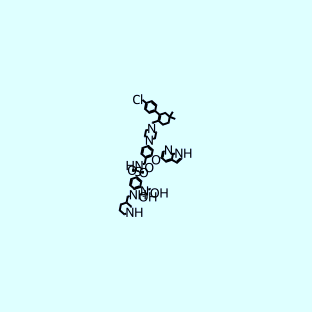 CC1(C)CCC(CN2CCN(c3ccc(C(=O)NS(=O)(=O)c4ccc(NCC5CCCNC5)c(N(O)CO)c4)c(Oc4cnc5[nH]ccc5c4)c3)CC2)=C(c2ccc(Cl)cc2)C1